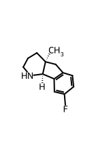 C[C@@]12CCCN[C@@H]1c1cc(F)ccc1C2